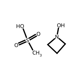 CS(=O)(=O)O.ON1CCC1